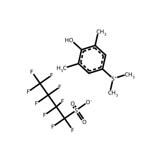 Cc1cc([S+](C)C)cc(C)c1O.O=S(=O)([O-])C(F)(F)C(F)(F)C(F)(F)C(F)(F)F